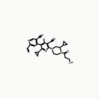 C=Cc1cc(-c2c(C3CC3)nc(N3CCN(C(=O)CCO)C(C4CC4)C3)c(C#N)c2C)c(C#N)cn1